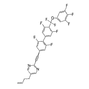 C=CCCc1cnc(C#Cc2cc(F)c(-c3cc(F)c(C(F)(F)Oc4cc(F)c(F)c(F)c4)c(F)c3)c(F)c2)nc1